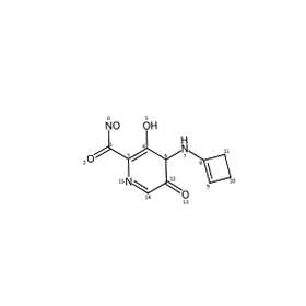 O=NC(=O)C1=C(O)C(NC2=CCC2)C(=O)C=N1